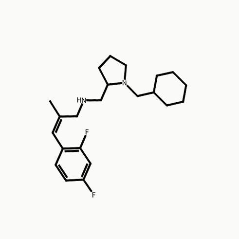 CC(=Cc1ccc(F)cc1F)CNCC1CCCN1CC1CCCCC1